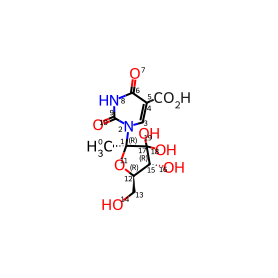 C[C@@]1(n2cc(C(=O)O)c(=O)[nH]c2=O)O[C@H](CO)[C@@H](O)C1(O)O